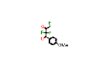 COc1ccc(C(=O)C(F)(F)C(=O)CF)cc1